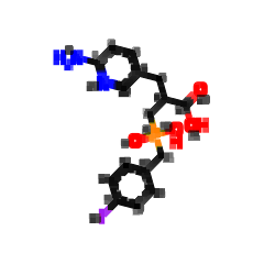 Nc1ccc(CC(CP(=O)(O)Cc2ccc(I)cc2)C(=O)O)cn1